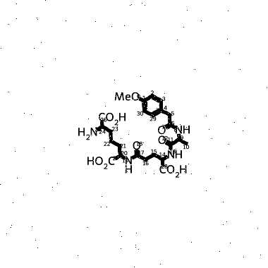 COc1ccc(CC(=O)NC(C)C(=O)NC(CCC(=O)NC(CCCC(N)C(=O)O)C(=O)O)C(=O)O)cc1